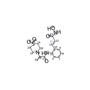 C[C@H](C(=O)Nc1ccccc1/C=C/C(=O)NO)N1CCS(=O)(=O)CC1